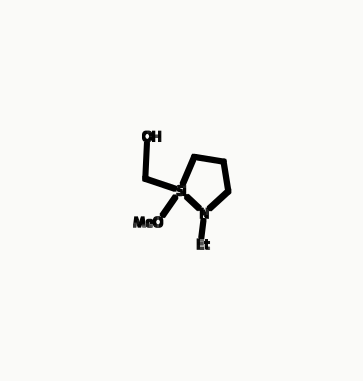 CCN1CCC[Si]1(CO)OC